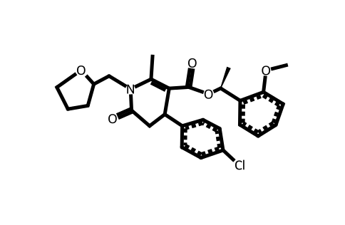 COc1ccccc1[C@H](C)OC(=O)C1=C(C)N(CC2CCCO2)C(=O)CC1c1ccc(Cl)cc1